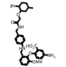 COc1cccc(CNc2ccc(CNC(=O)COC3CC(C)CCC3C(C)C)cc2)c1Oc1ccc(N)cc1C(=O)O